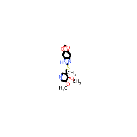 COC1=CN=CC(C)(CSc2nc3cc4c(cc3[nH]2)OCO4)C1OC